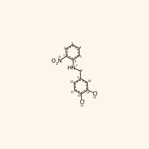 O=[N+]([O-])c1ccccc1NCc1ccc(Cl)c(Cl)c1